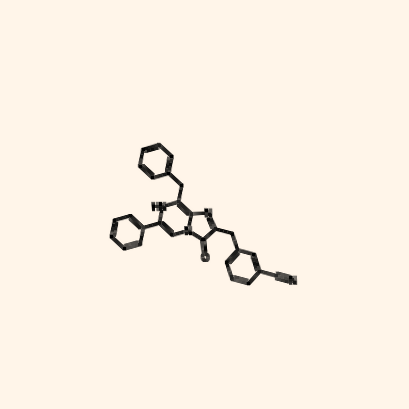 N#Cc1cccc(Cc2nc3c(Cc4ccccc4)[nH]c(-c4ccccc4)cn-3c2=O)c1